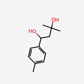 Cc1ccc(C(O)CC(C)(C)O)cc1